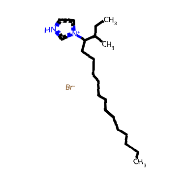 CCCCCCCCCCCCCC(C(C)CC)[n+]1cc[nH]c1.[Br-]